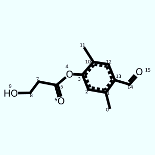 Cc1cc(OC(=O)CCO)c(C)cc1C=O